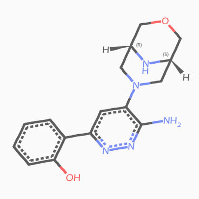 Nc1nnc(-c2ccccc2O)cc1N1C[C@H]2COC[C@@H](C1)N2